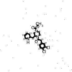 COC(=O)N1CCN(C(=O)Cc2ccc(Cl)c(Cl)c2)C(CC2CC=CCN2)C1